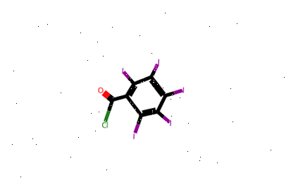 O=C(Cl)c1c(I)c(I)c(I)c(I)c1I